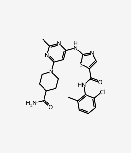 Cc1nc(Nc2ncc(C(=O)Nc3c(C)cccc3Cl)s2)cc(N2CCC(C(N)=O)CC2)n1